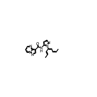 C\C=C/C=C(\C=C\C)n1nccc1NC(=O)c1cnn2cccnc12